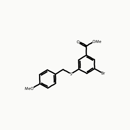 COC(=O)c1cc(Br)cc(SCc2ccc(OC)cc2)c1